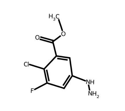 COC(=O)c1cc(NN)cc(F)c1Cl